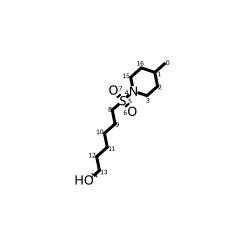 CC1CCN(S(=O)(=O)CCCCCCO)CC1